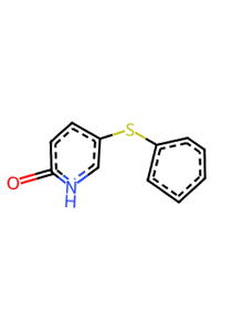 O=c1ccc(Sc2ccccc2)c[nH]1